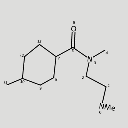 CNCCN(C)C(=O)C1CCC(C)CC1